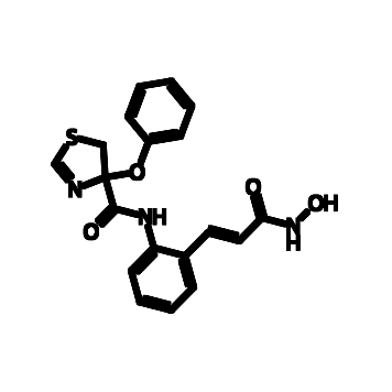 O=C(C=Cc1ccccc1NC(=O)C1(Oc2ccccc2)CSC=N1)NO